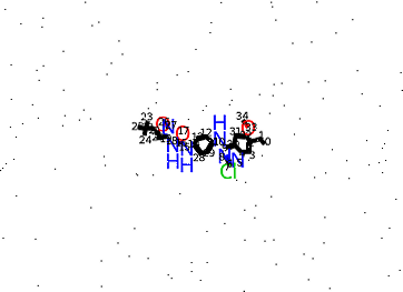 CCc1cc2nc(Cl)nc(Nc3ccc(NC(=O)Nc4cc(C(C)(C)C)on4)cc3)c2cc1OC